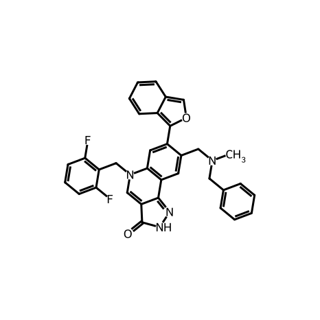 CN(Cc1ccccc1)Cc1cc2c3n[nH]c(=O)c-3cn(Cc3c(F)cccc3F)c2cc1-c1occ2ccccc12